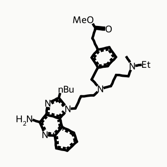 CCCCc1nc2c(N)nc3ccccc3c2n1CCCN(CCCN(C)CC)Cc1cccc(CC(=O)OC)c1